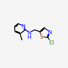 Cc1cccnc1NCc1cnc(Cl)s1